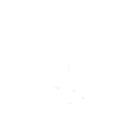 Nc1ccnn1-c1ccc(-c2ccccc2)cc1